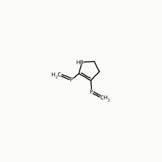 C=PC1=C(P=C)CCB1